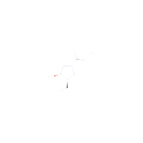 C=C[C@@H]1CN(C(=O)OC(C)(C)C)C[C@@H]1O